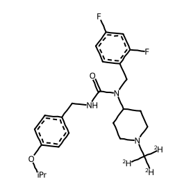 [2H]C([2H])([2H])N1CCC(N(Cc2ccc(F)cc2F)C(=O)NCc2ccc(OC(C)C)cc2)CC1